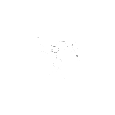 CNCCN(C)Cc1nn2c(c1C1CCC(COC)(COC)CC1)CN(C(=O)C(C)(C)C#N)CC2